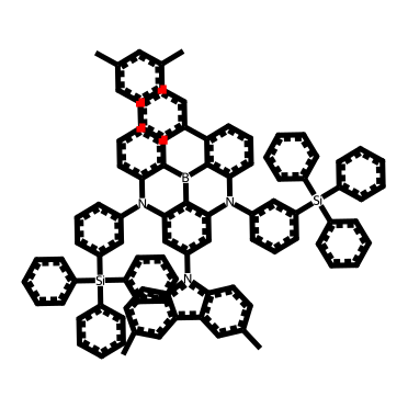 Cc1cc(C)cc(-c2ccc3c(c2)B2c4c(-c5ccccc5)cccc4N(c4cccc([Si](c5ccccc5)(c5ccccc5)c5ccccc5)c4)c4cc(-n5c6ccc(C)cc6c6cc(C)ccc65)cc(c42)N3c2cccc([Si](c3ccccc3)(c3ccccc3)c3ccccc3)c2)c1